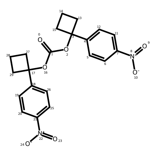 O=C(OC1(c2ccc([N+](=O)[O-])cc2)CCC1)OC1(c2ccc([N+](=O)[O-])cc2)CCC1